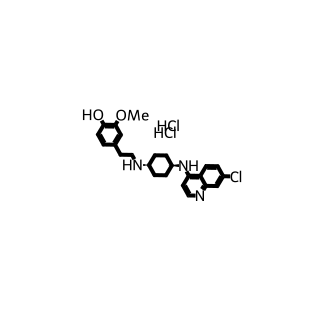 COc1cc(CCN[C@H]2CC[C@H](Nc3ccnc4cc(Cl)ccc34)CC2)ccc1O.Cl.Cl